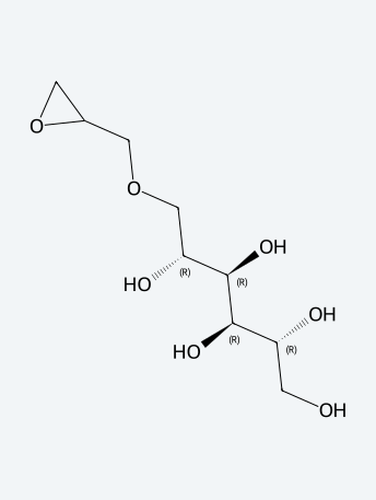 OC[C@@H](O)[C@@H](O)[C@H](O)[C@H](O)COCC1CO1